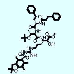 COC(=O)C(O)[C@H](CCCNC(=N)NS(=O)(=O)c1c(C)c(C)c2c(c1C)CC(C)(C)O2)NC(=O)[C@H](NC(=O)[C@H](CCc1ccccc1)NC(=O)CCc1ccccc1)[C@@H](C)OC(C)(C)C